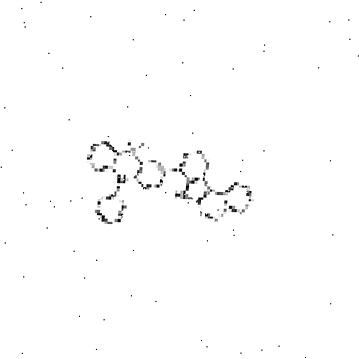 CC1(C)c2ccccc2N(c2ccccc2)c2ccc(C3=CCCc4c3[nH]c3ccc5ccccc5c43)cc21